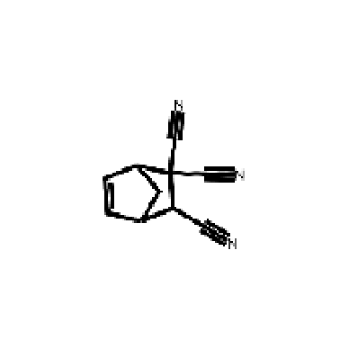 N#CC1C2C=CC(C2)C1(C#N)C#N